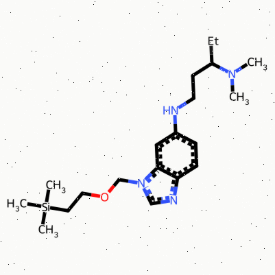 CCC(CCNc1ccc2ncn(COCC[Si](C)(C)C)c2c1)N(C)C